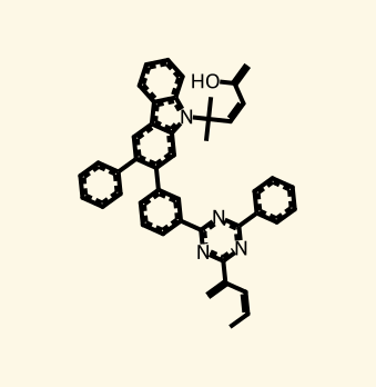 C=C(O)/C=C\C(C)(C)n1c2ccccc2c2cc(-c3ccccc3)c(-c3cccc(-c4nc(C(=C)/C=C\C)nc(-c5ccccc5)n4)c3)cc21